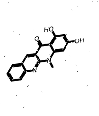 Cn1c2cc(O)cc(O)c2c(=O)c2cc3ccccc3nc21